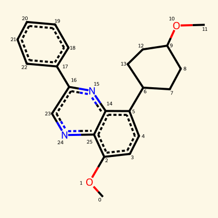 COc1ccc(C2CCC(OC)CC2)c2nc(-c3ccccc3)cnc12